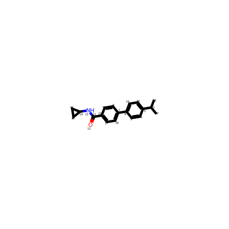 CC(C)c1ccc(-c2ccc(C(=O)NC3CC3)cc2)cc1